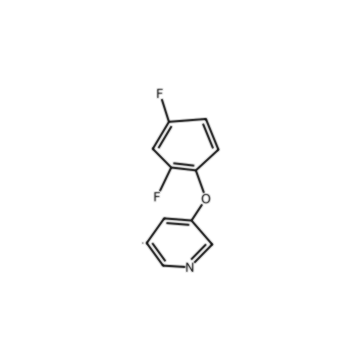 Fc1ccc(Oc2c[c]cnc2)c(F)c1